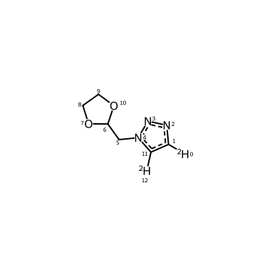 [2H]c1nnn(CC2OCCO2)c1[2H]